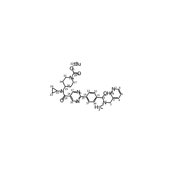 CN(Cc1cccnc1)C(O)c1ccc(-c2ncc(C(=O)N(C3CC3)C3CCN(C(=O)OC(C)(C)C)CC3)cn2)cc1